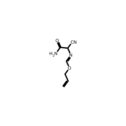 C=CCOC=NC(C#N)C(N)=O